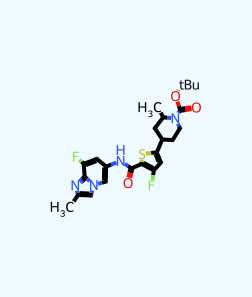 Cc1cn2cc(NC(=O)c3sc(C4CCN(C(=O)OC(C)(C)C)C(C)C4)cc3F)cc(F)c2n1